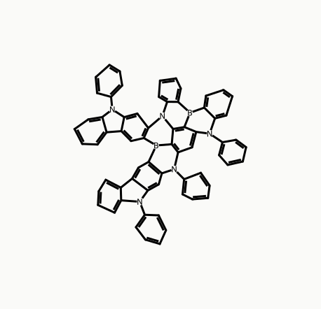 c1ccc(N2c3ccccc3B3c4ccccc4N4c5cc6c(cc5B5c7cc8c9ccccc9n(-c9ccccc9)c8cc7N(c7ccccc7)c7cc2c3c4c75)c2ccccc2n6-c2ccccc2)cc1